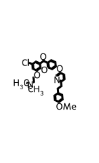 COc1ccc(CCc2ccc(Oc3ccc4c(=O)c5cc(Cl)cc(OCCN(C)C)c5oc4c3)cn2)cc1